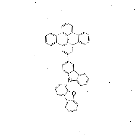 c1ccc2c(c1)oc1c(-n3c4ccccc4c4cc(-c5cc6c7ccccc7c7cccc8c9ccccc9c(c5)c6c78)ccc43)cccc12